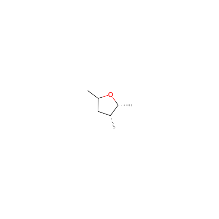 CC1C[C@@H](C)[C@@H](C)O1